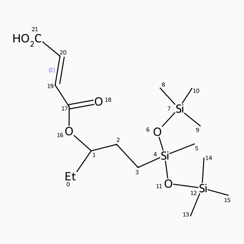 CCC(CC[Si](C)(O[Si](C)(C)C)O[Si](C)(C)C)OC(=O)/C=C/C(=O)O